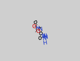 CCCC(C(=O)Cc1ccccc1)n1ccn(Cc2ccc(-c3ccccc3-c3nnn[nH]3)cc2)c1=O